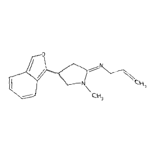 C=CCN=C1CC(c2occ3ccccc23)CN1C